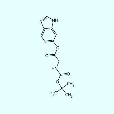 CC(C)(C)OC(=O)NCC(=O)Oc1ccc2nc[nH]c2c1